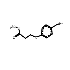 CCCCOC(=O)CCOc1ccc(C(C)(C)C)cc1